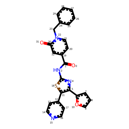 O=C(Nc1nc(-c2ccco2)c(-c2ccncc2)s1)c1ccn(Cc2ccccc2)c(=O)c1